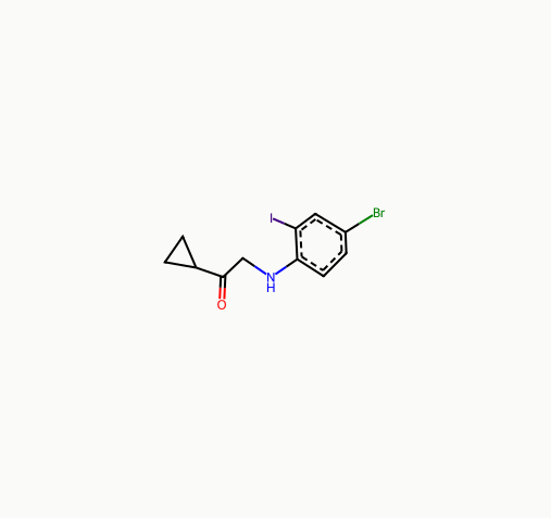 O=C(CNc1ccc(Br)cc1I)C1CC1